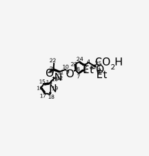 CCO[C@@](CC)(Cc1ccc(OCc2nc(-c3ccccn3)oc2C)cc1)C(=O)O